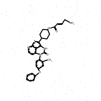 Cc1cc(Oc2ccccc2)ccc1N1C(=O)Nc2c(C3CCC(NC(=O)/C=C/CN)CC3)sc3nccc1c23